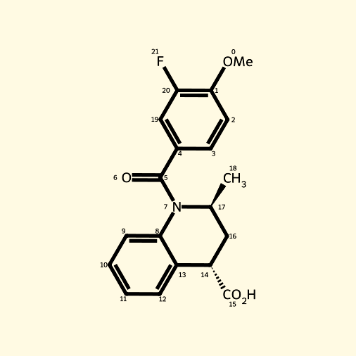 COc1ccc(C(=O)N2c3ccccc3[C@@H](C(=O)O)C[C@@H]2C)cc1F